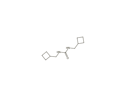 O=C(NCC1CCC1)NCC1CCC1